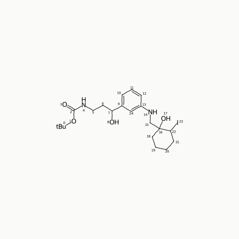 CC(C)(C)OC(=O)NCCC(O)c1cccc(NCC2(O)CCCCC2I)c1